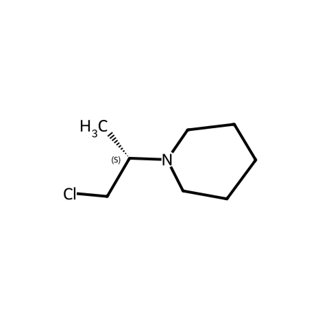 C[C@@H](CCl)N1CCCCC1